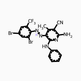 Cc1c(C#N)c(N)nc(Nc2ccccc2)c1/N=N/c1c(Br)cc(Br)cc1C(F)(F)F